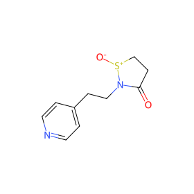 O=C1CC[S+]([O-])N1CCc1ccncc1